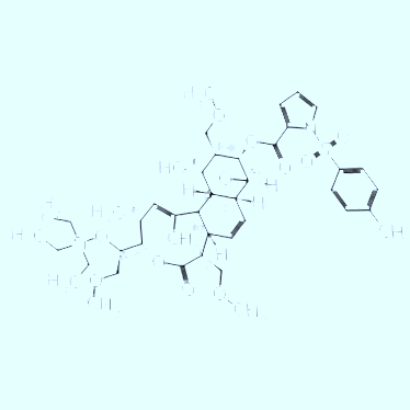 CC[Si](CC)(CC)O[C@H](COC)[C@H]1OC(=O)[C@H](COC)[C@H]2C=C[C@H]3[C@H]4O[C@]2(/C(C)=C/[C@H]1C)[C@@H]3[C@H](O)[C@@H](COC)[C@H]4OC(=O)c1cccn1S(=O)(=O)c1ccc(C)cc1